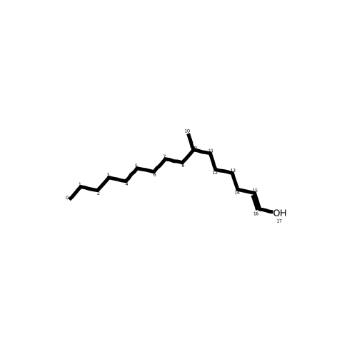 CCCCCCCCCC(C)CCCC/C=C/O